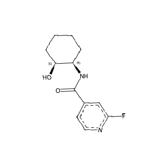 O=C(N[C@@H]1CCCC[C@@H]1O)c1ccnc(F)c1